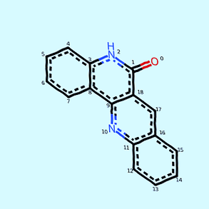 O=c1[nH]c2ccccc2c2nc3ccccc3cc12